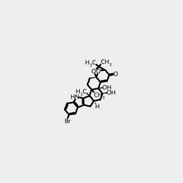 CC1(C)O[C@@]23CCC4(C)[C@@]5(C)c6[nH]c7ccc(Br)cc7c6C[C@@H]5C[C@H](O)[C@@]4(O)C2=CC(=O)C1O3